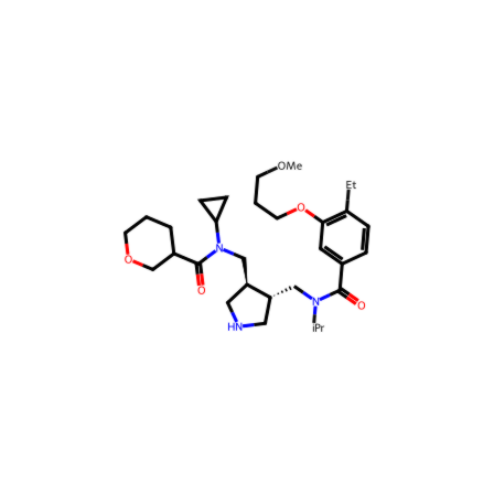 CCc1ccc(C(=O)N(C[C@@H]2CNC[C@H]2CN(C(=O)C2CCCOC2)C2CC2)C(C)C)cc1OCCCOC